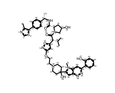 Cc1ncsc1-c1ccc([C@H](C)NC(=O)[C@@H]2C[C@@H](O)CN2C(=O)[C@@H](c2cc(OCCN3CCC(O)(c4cc5nnc(-c6ccccc6O)cc5n4C)CC3)no2)C(C)C)cc1